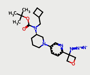 CC(C)(C)OC(=O)N(CC1CCC1)[C@@H]1CCCN(c2ccc(C3(N=[N+]=[N-])COC3)nc2)C1